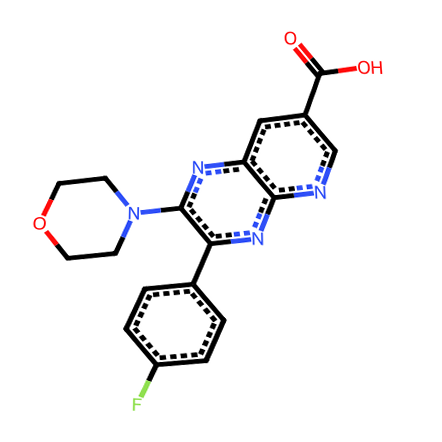 O=C(O)c1cnc2nc(-c3ccc(F)cc3)c(N3CCOCC3)nc2c1